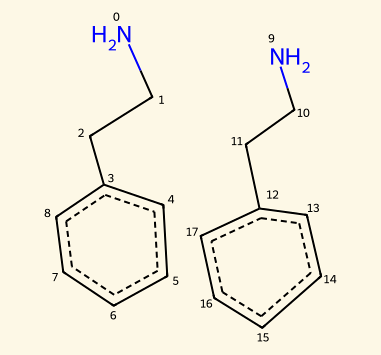 NCCc1ccccc1.NCCc1ccccc1